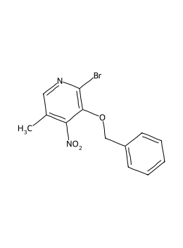 Cc1cnc(Br)c(OCc2ccccc2)c1[N+](=O)[O-]